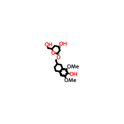 COc1cc2c(c(OC)c1O)CC(CO[C@H]1C[C@@H](O)CC(CO)O1)CC2